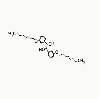 CCCCCCCCOc1cccc(C(O)C(O)c2cccc(OCCCCCCCC)c2)c1